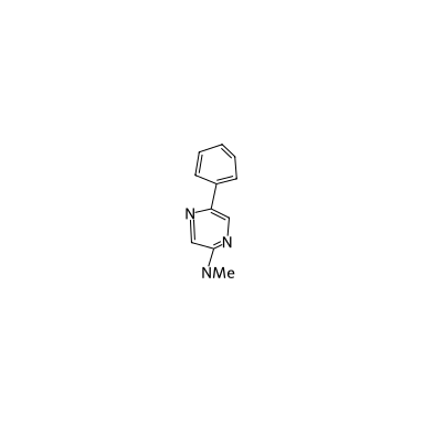 CNc1cnc(-c2ccccc2)cn1